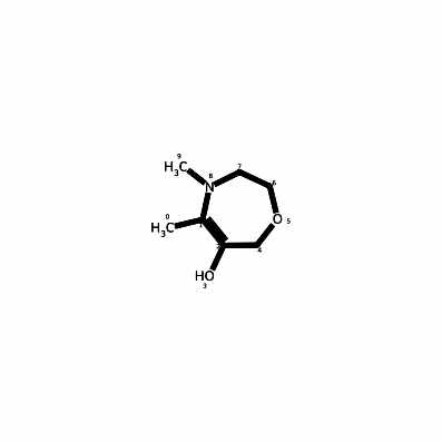 CC1=C(O)COCCN1C